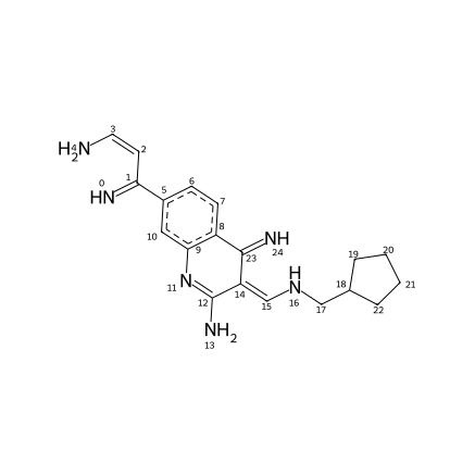 N=C(/C=C\N)c1ccc2c(c1)N=C(N)/C(=C/NCC1CCCC1)C2=N